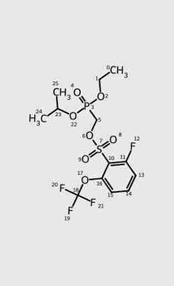 CCOP(=O)(COS(=O)(=O)c1c(F)cccc1OC(F)(F)F)OC(C)C